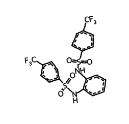 O=S(=O)(Nc1ccccc1NS(=O)(=O)c1ccc(C(F)(F)F)cc1)c1ccc(C(F)(F)F)cc1